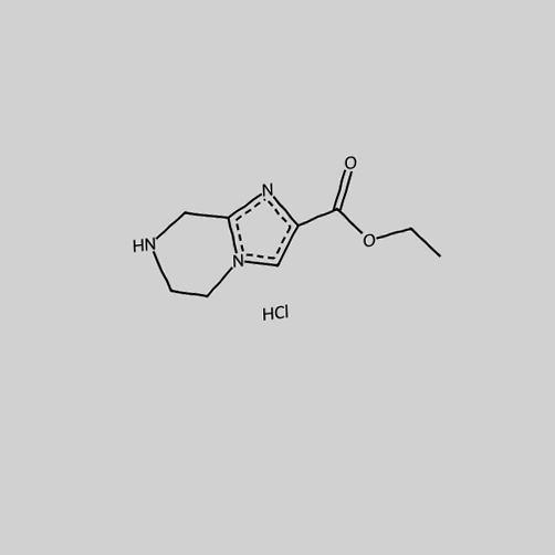 CCOC(=O)c1cn2c(n1)CNCC2.Cl